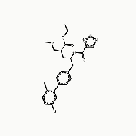 CCOC(=O)[C@H](CNC)C[C@@H](Cc1ccc(-c2cc(Cl)ccc2F)cc1)NC(=O)c1cnn[nH]1